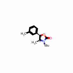 Cc1cccc([C@H]2OC(=O)N(C(C)(C)C)[C@H]2C)c1